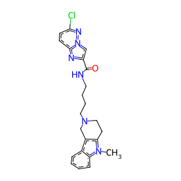 Cn1c2c(c3ccccc31)CN(CCCCNC(=O)c1cn3nc(Cl)ccc3n1)CC2